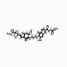 COc1cc2sc(C(=O)CC(C)(C)C(=O)O)cc2c(F)c1OCCCOc1c(OC)cc2cc(C(=O)CCC(=O)O)cnc2c1F